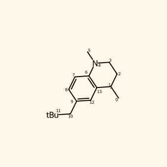 C[C]1CCN(C)c2ccc(CC(C)(C)C)cc21